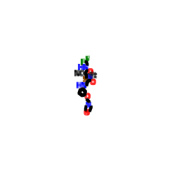 CCn1c(=C(C#N)C(=O)NCC(F)F)sc(=CNc2cccc(OCCN3CCOCC3)c2)c1=O